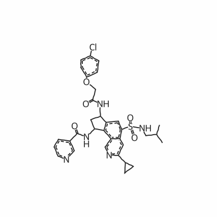 CC(C)CNS(=O)(=O)c1cc2c(c3cnc(C4CC4)cc13)C(NC(=O)c1cccnc1)CC2NC(=O)COc1ccc(Cl)cc1